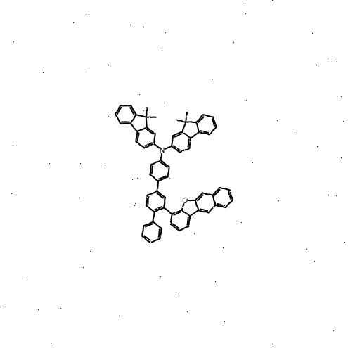 CC1(C)c2ccccc2-c2ccc(N(c3ccc(-c4ccc(-c5ccccc5)c(-c5cccc6c5oc5cc7ccccc7cc56)c4)cc3)c3ccc4c(c3)C(C)(C)c3ccccc3-4)cc21